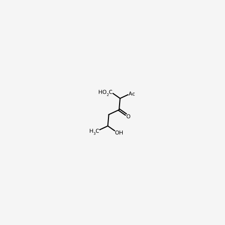 CC(=O)C(C(=O)O)C(=O)CC(C)O